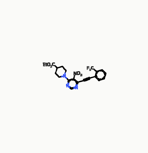 CCOC(=O)C1CCN(c2ncnc(C#Cc3ccccc3C(F)(F)F)c2[N+](=O)[O-])CC1